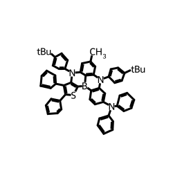 Cc1cc2c3c(c1)N(c1ccc(C(C)(C)C)cc1)c1c(sc(-c4ccccc4)c1-c1ccccc1)B3c1ccc(N(c3ccccc3)c3ccccc3)cc1N2c1ccc(C(C)(C)C)cc1